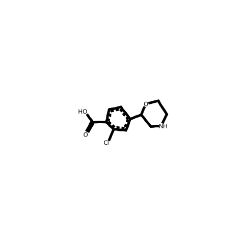 O=C(O)c1ccc(C2CNCCO2)cc1Cl